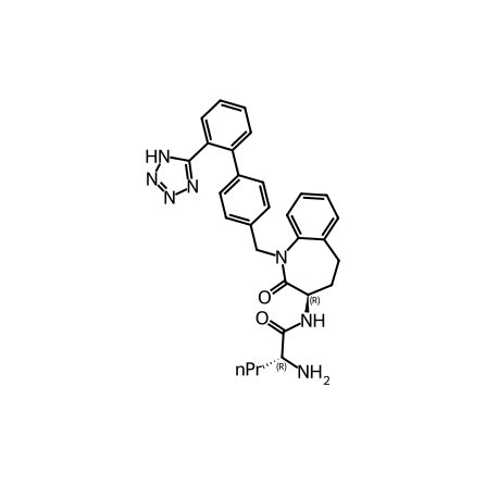 CCC[C@@H](N)C(=O)N[C@@H]1CCc2ccccc2N(Cc2ccc(-c3ccccc3-c3nnn[nH]3)cc2)C1=O